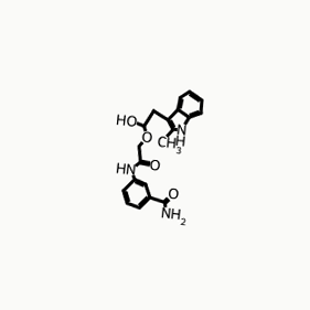 Cc1[nH]c2ccccc2c1CC(O)OCC(=O)Nc1cccc(C(N)=O)c1